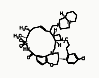 CCCc1cc(Cl)ccc1[C@@H]1COc2ccc3cc2N(C1)C[C@@H]1CC[C@H]1C(CN1CCN2CCCC[C@@H]2C1)/C=C/C[C@H](C)[C@@H](C)S(=O)(=O)NC3=O